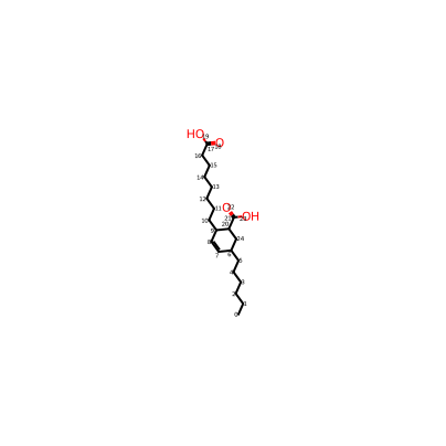 CCCCCCC1C=CC(CCCCCCCC(=O)O)C(C(=O)O)C1